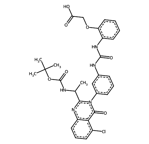 CC(NC(=O)OC(C)(C)C)c1nc2cccc(Cl)c2c(=O)n1-c1cccc(NC(=O)Nc2ccccc2OCC(=O)O)c1